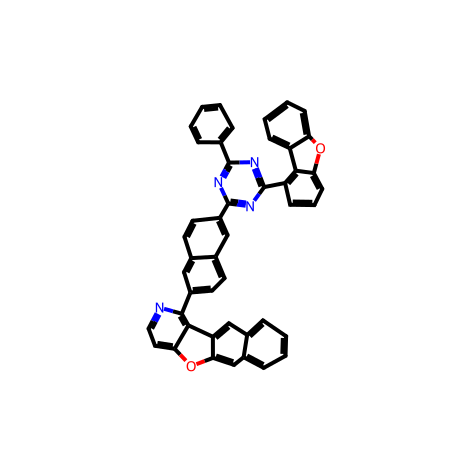 c1ccc(-c2nc(-c3ccc4cc(-c5nccc6oc7cc8ccccc8cc7c56)ccc4c3)nc(-c3cccc4oc5ccccc5c34)n2)cc1